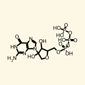 Nc1nc2c(ncn2C2(O)COC(COP(=O)(O)OP(=O)(O)OP(=O)(O)O)C2O)c(=O)[nH]1